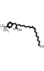 CCCCCCCC/C=C\CCCCCCC(Cc1ccc(N(C)C)cc1)C(=O)O